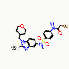 CN(c1ccc2c(c1)nc(C(C)(C)C)n2CC1CCOCC1)S(=O)(=O)c1ccc(NC(=O)CBr)cc1